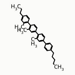 CCCCCc1ccc(-c2ccc(-c3ccc(-c4ccc(CCC)cc4C)c(C)c3)c(C)c2)cc1